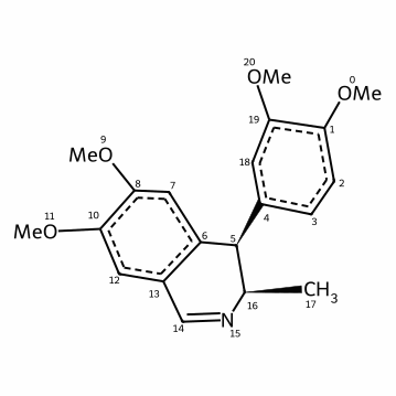 COc1ccc([C@@H]2c3cc(OC)c(OC)cc3C=N[C@@H]2C)cc1OC